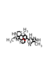 CCn1nc(-c2ccccn2)c2c1NCCSC2c1ccc(C(=O)Nc2n[nH]c(C)c2C#N)cc1C